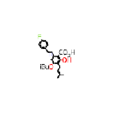 CCC(C)Oc1cc(/C=C/c2ccc(F)cc2)c(C(=O)O)c(O)c1CC=C(C)C